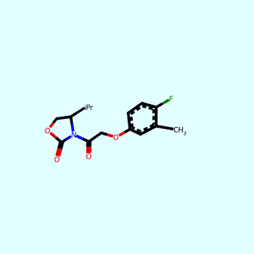 Cc1cc(OCC(=O)N2C(=O)OCC2C(C)C)ccc1F